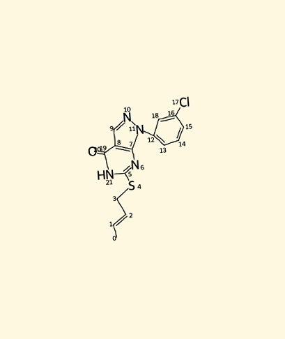 C/C=C/CSc1nc2c(cnn2-c2cccc(Cl)c2)c(=O)[nH]1